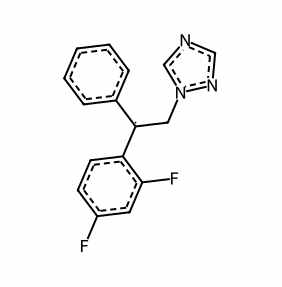 Fc1ccc([C](Cn2cncn2)c2ccccc2)c(F)c1